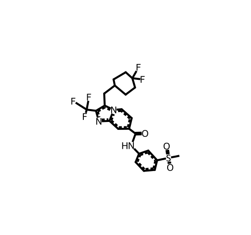 CS(=O)(=O)c1cccc(NC(=O)c2ccn3c(CC4CCC(F)(F)CC4)c(C(F)(F)F)nc3c2)c1